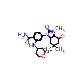 Cn1c2c(n(-c3ccc(C(N)=O)c(NC4CCOCC4)c3)c1=O)CC(C)(C)CC2=O